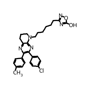 Cc1ccc(-c2nc3c(nc2-c2ccc(Cl)cc2)N(CCCCCCc2noc(O)n2)CCC3)cc1